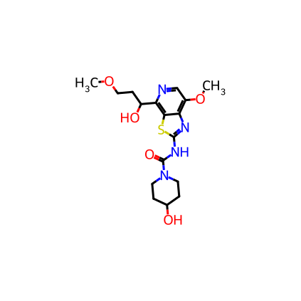 COCCC(O)c1ncc(OC)c2nc(NC(=O)N3CCC(O)CC3)sc12